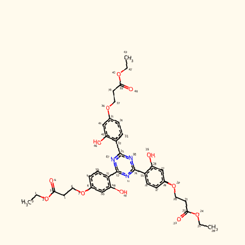 CCOC(=O)CCOc1ccc(-c2nc(-c3ccc(OCCC(=O)OCC)cc3O)nc(-c3ccc(OCCC(=O)OCC)cc3O)n2)c(O)c1